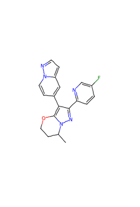 CC1CCOc2c(-c3ccn4nccc4c3)c(-c3ccc(F)cn3)nn21